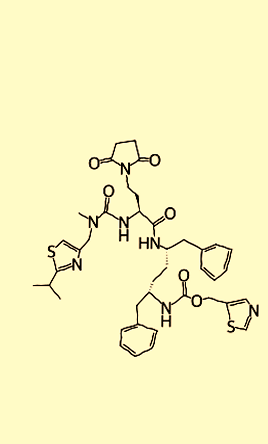 CC(C)c1nc(CN(C)C(=O)N[C@@H](CCN2C(=O)CCC2=O)C(=O)N[C@@H](CC[C@@H](Cc2ccccc2)NC(=O)OCc2cncs2)Cc2ccccc2)cs1